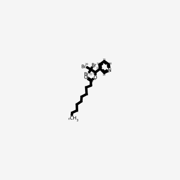 CCCCCCCCCC(=O)OC(c1cccnc1)C(Br)(Br)Br